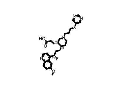 COc1ccc2nccc([C@H](F)CC[C@@H]3CCN(CCCSc4cncnc4)C[C@H]3CCC(=O)O)c2c1